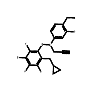 C#CCN(Sc1c(F)c(F)c(F)c(F)c1CC1CC1)c1ccc(CC)c(F)c1